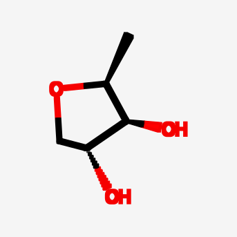 C[C@@H]1OC[C@@H](O)[C@@H]1O